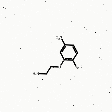 NCCOc1cc([N+](=O)[O-])ccc1Br